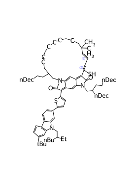 CCCCCCCCCCCCC(CCCCCCCCCC)CN1C(=O)C2=c3cc4c(cc31)=C(c1ccc(-c3ccc5c6ccc(C(C)(C)C)cc6n(CC(CC)CCCC)c5c3)s1)C(=O)N4CC(CCCCCCCCCCCC)CCCCCCCCCCC(C)(C)/C=C/C=C/2S